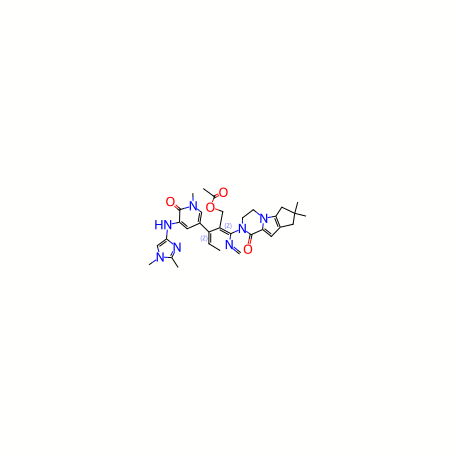 C=N/C(=C(COC(C)=O)\C(=C/C)c1cc(Nc2cn(C)c(C)n2)c(=O)n(C)c1)N1CCn2c(cc3c2CC(C)(C)C3)C1=O